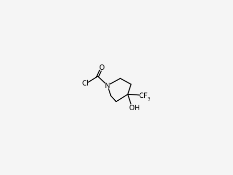 O=C(Cl)N1CCC(O)(C(F)(F)F)CC1